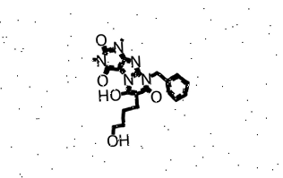 Cn1c(=O)c2c(nc3n(Cc4ccccc4)c(=O)c(CCCCO)c(O)n23)n(C)c1=O